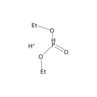 CCO[PH](=O)OCC.[H+]